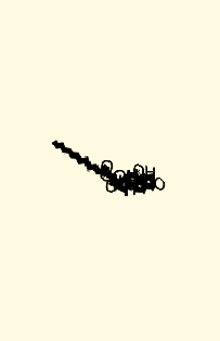 CCCCCCCCCCCCC(=O)OCC(=O)[C@@]1(O)[C@H](C)C[C@H]2[C@@H]3CCC4=CC(=O)C=C[C@]4(C)[C@@]3(F)[C@@H](O)C[C@@]21C